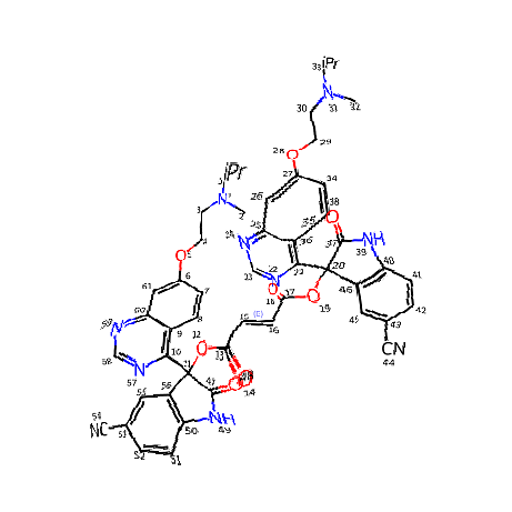 CC(C)N(C)CCOc1ccc2c(C3(OC(=O)/C=C/C(=O)OC4(c5ncnc6cc(OCCN(C)C(C)C)ccc56)C(=O)Nc5ccc(C#N)cc54)C(=O)Nc4ccc(C#N)cc43)ncnc2c1